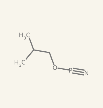 CC(C)CO[P]#N